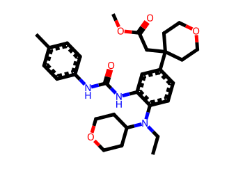 CCN(c1ccc(C2(CC(=O)OC)CCOCC2)cc1NC(=O)Nc1ccc(C)cc1)C1CCOCC1